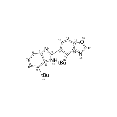 CC(C)(C)c1c(-c2nc3cccc(C(C)(C)C)c3[nH]2)ccc2ocnc12